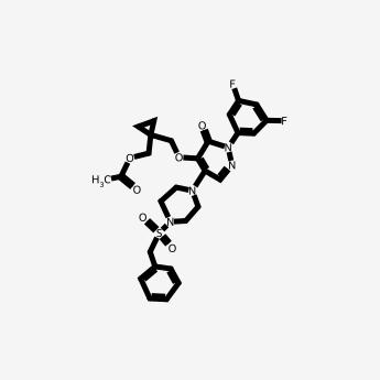 CC(=O)OCC1(COc2c(N3CCN(S(=O)(=O)Cc4ccccc4)CC3)cnn(-c3cc(F)cc(F)c3)c2=O)CC1